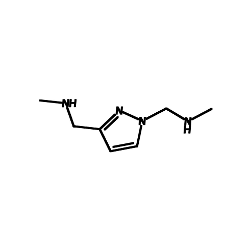 CNCc1ccn(CNC)n1